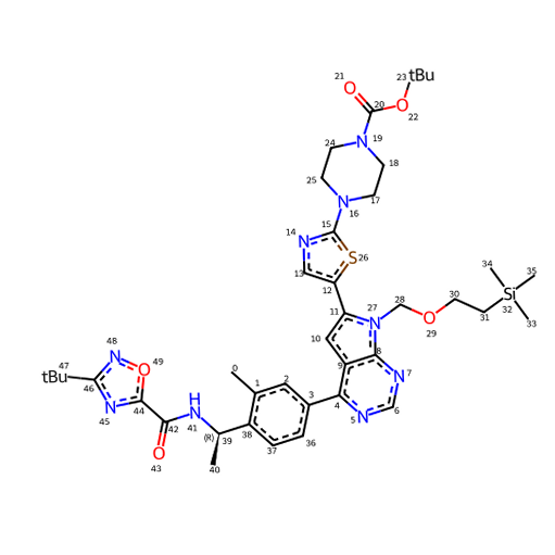 Cc1cc(-c2ncnc3c2cc(-c2cnc(N4CCN(C(=O)OC(C)(C)C)CC4)s2)n3COCC[Si](C)(C)C)ccc1[C@@H](C)NC(=O)c1nc(C(C)(C)C)no1